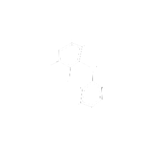 Fc1cccc(Oc2cc[c]cc2)c1Cl